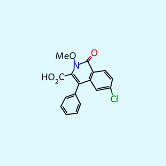 COn1c(C(=O)O)c(-c2ccccc2)c2cc(Cl)ccc2c1=O